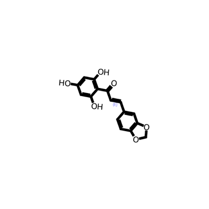 O=C(/C=C/c1ccc2c(c1)OCO2)c1c(O)cc(O)cc1O